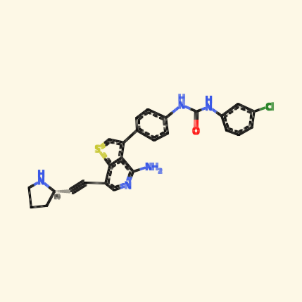 Nc1ncc(C#C[C@@H]2CCCN2)c2scc(-c3ccc(NC(=O)Nc4cccc(Cl)c4)cc3)c12